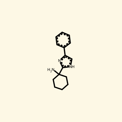 NC1(c2nc(-c3ccccc3)c[nH]2)CCCCC1